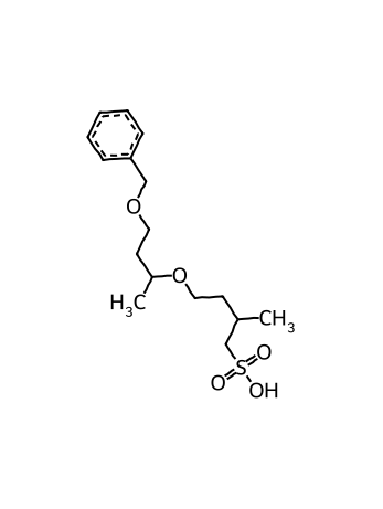 CC(CCOC(C)CCOCc1ccccc1)CS(=O)(=O)O